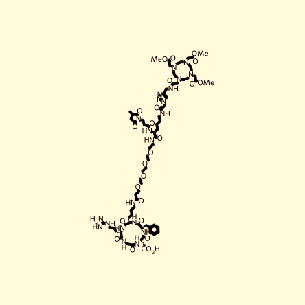 COC(=O)CN1CCN(CC(=O)NCc2cn(CC(=O)NCCCCC(NC(=O)CCN3C(=O)CC(C)C3=O)C(=O)NCCOCCOCCOCCOCCC(=O)NCCCC[C@@H]3NC(=O)[C@@H](Cc4ccccc4)NC(=O)[C@H](CC(=O)O)NC(=O)CNC(=O)[C@H](CCCNC(=N)N)NC3=O)nn2)CCN(CC(=O)OC)CCN(CC(=O)OC)CC1